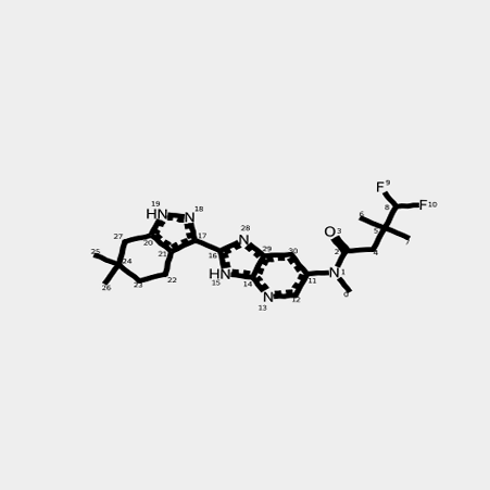 CN(C(=O)CC(C)(C)C(F)F)c1cnc2[nH]c(-c3n[nH]c4c3CCC(C)(C)C4)nc2c1